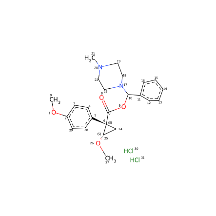 COc1ccc([C@@]2(C(=O)OC(c3ccccc3)N3CCN(C)CC3)C[C@@H]2OC)cc1.Cl.Cl